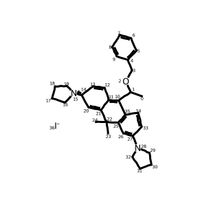 CC(OCc1ccccc1)C1=C2C=CC(=[N+]3CCCC3)C=C2C(C)(C)c2cc(N3CCCC3)ccc21.[I-]